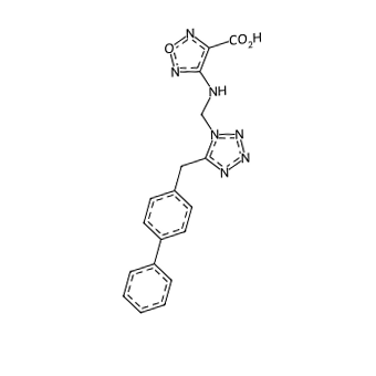 O=C(O)c1nonc1NCn1nnnc1Cc1ccc(-c2ccccc2)cc1